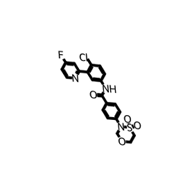 O=C(Nc1ccc(Cl)c(-c2cc(F)ccn2)c1)c1ccc(N2COCCS2(=O)=O)cc1